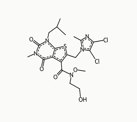 CON(CCO)C(=O)c1c(Cn2c(C)nc(Cl)c2Cl)sc2c1c(=O)n(C)c(=O)n2CC(C)C